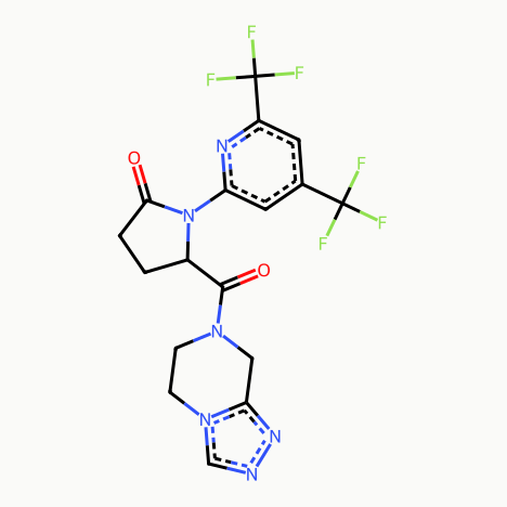 O=C(C1CCC(=O)N1c1cc(C(F)(F)F)cc(C(F)(F)F)n1)N1CCn2cnnc2C1